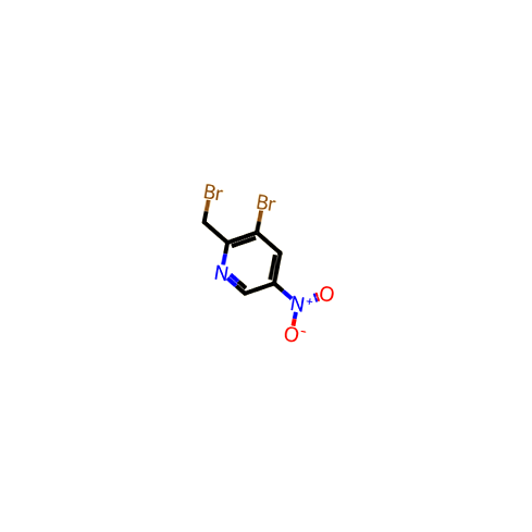 O=[N+]([O-])c1cnc(CBr)c(Br)c1